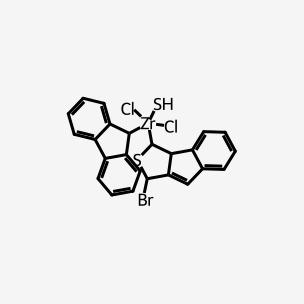 [SH][Zr]([Cl])([Cl])([CH]1c2ccccc2-c2ccccc21)[CH]1SC(Br)C2=Cc3ccccc3C21